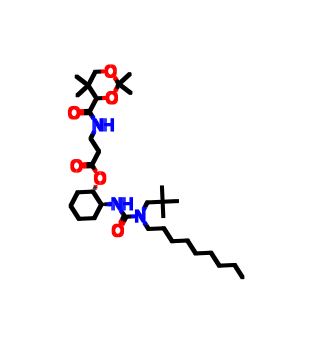 CCCCCCCCCN(CC(C)(C)C)C(=O)N[C@H]1CCCC[C@@H]1OC(=O)CCNC(=O)C1OC(C)(C)OCC1(C)C